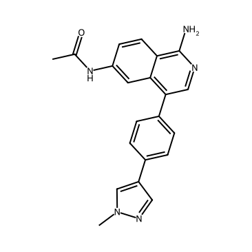 CC(=O)Nc1ccc2c(N)ncc(-c3ccc(-c4cnn(C)c4)cc3)c2c1